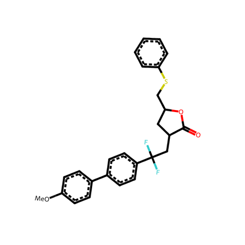 COc1ccc(-c2ccc(C(F)(F)CC3CC(CSc4ccccc4)OC3=O)cc2)cc1